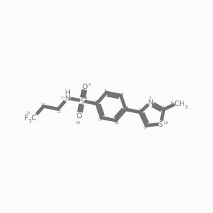 Cc1nc(-c2ccc(S(=O)(=O)NCCC(F)(F)F)cc2)cs1